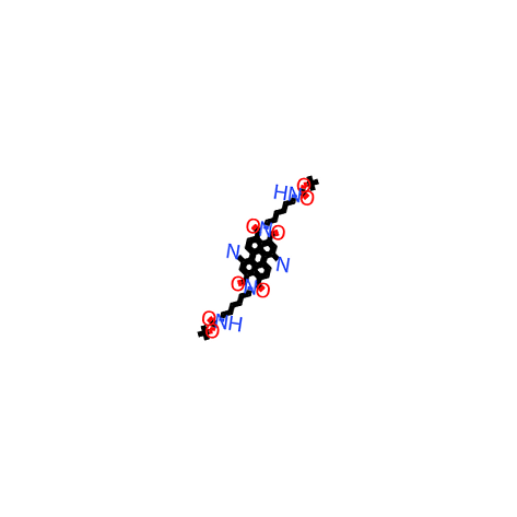 CC(C)(C)OC(=O)NCCCCCCN1C(=O)c2ccc3c4c(C#N)cc5c6c(ccc(c7c(C#N)cc(c2c37)C1=O)c64)C(=O)N(CCCCCCNC(=O)OC(C)(C)C)C5=O